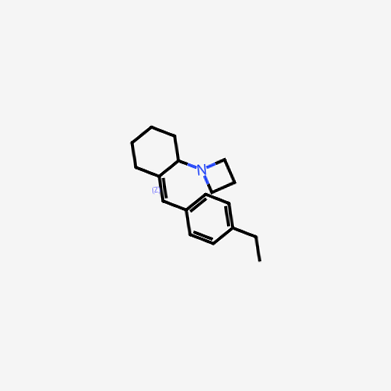 CCc1ccc(/C=C2/CCCCC2N2CCC2)cc1